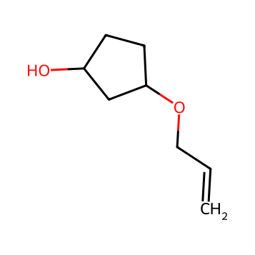 C=CCOC1CCC(O)C1